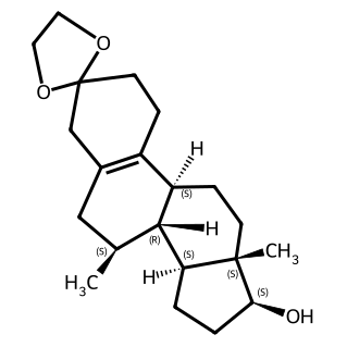 C[C@H]1CC2=C(CCC3(C2)OCCO3)[C@H]2CC[C@]3(C)[C@@H](O)CC[C@H]3[C@@H]21